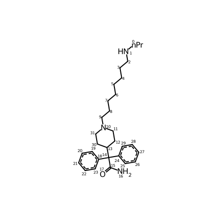 CCCNCCCCCCCCN1CCC(C(C(N)=O)(c2ccccc2)c2ccccc2)CC1